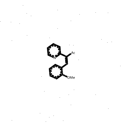 COc1ccccc1/C=C(/C(C)=O)c1ccccn1